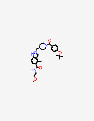 COCCNC(=O)c1ccc2nn(CC3CCN(C(=O)c4ccc(OC(C)(C)C)cc4)CC3)cc2c1C